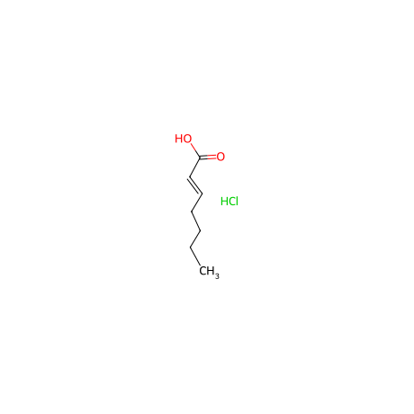 CCCCC=CC(=O)O.Cl